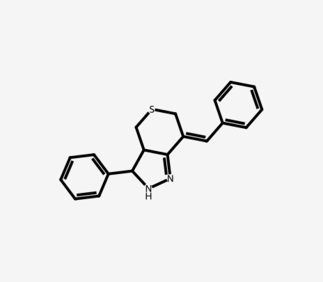 C(=C1CSCC2C1=NNC2c1ccccc1)c1ccccc1